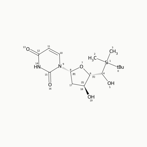 CC(C)(C)[Si](C)(C)C(O)[C@H]1O[C@@H](n2ccc(=O)[nH]c2=O)C[C@@H]1O